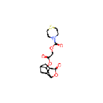 O=C(COC(=O)N1CCSCC1)OC1C2CC3C(=O)OC1C3C2